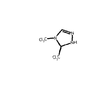 ClC(Cl)(Cl)C1NN=CN1C(Cl)(Cl)Cl